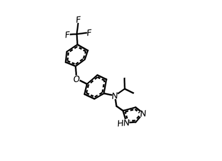 CC(C)N(Cc1cnc[nH]1)c1ccc(Oc2ccc(C(F)(F)F)cc2)cc1